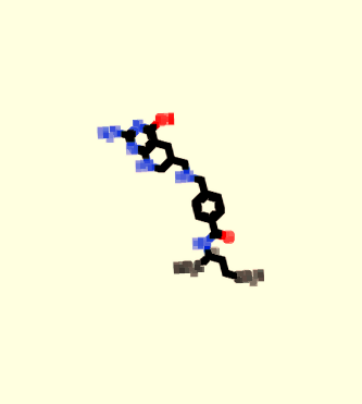 Nc1nc(O)c2c(n1)NCC(CNCc1ccc(C(=O)N[C@@H](CCC(=O)O)C(=O)O)cc1)C2